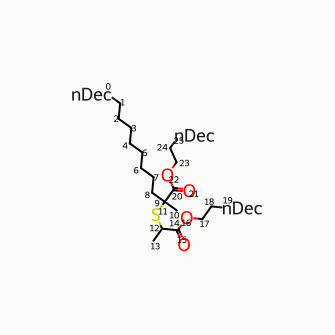 CCCCCCCCCCCCCCCCCCC(C)(SC(C)C(=O)OCCCCCCCCCCCC)C(=O)OCCCCCCCCCCCC